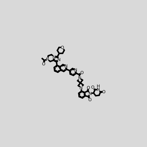 CC(=O)N1CCn2c(C3CCOCC3)nc(-c3cccc4cc(-c5ccc(C(=O)N6CC7(C6)CN(c6cccc8c6C(=O)N(C6CCC(=O)NC6=O)C8=O)C7)nc5)ncc34)c2C1